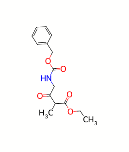 CCOC(=O)C(C)C(=O)CNC(=O)OCc1ccccc1